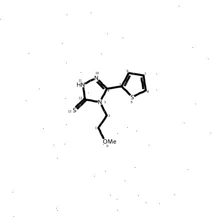 COCCn1c(-c2cccs2)n[nH]c1=S